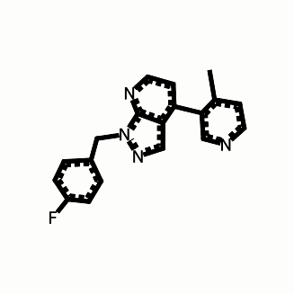 Cc1ccncc1-c1ccnc2c1cnn2Cc1ccc(F)cc1